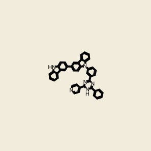 c1ccc(C2=NC(c3cccc(-n4c5ccccc5c5cc(-c6ccc7[nH]c8ccccc8c7c6)ccc54)c3)=NC(c3ccncc3)N2)cc1